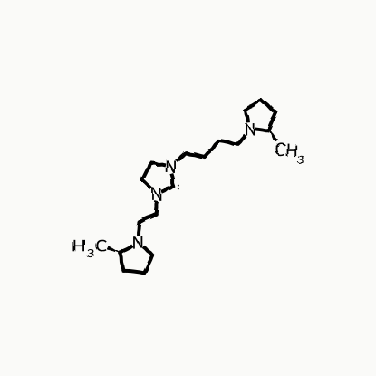 C[C@@H]1CCCN1CCCCN1[C]N(CCN2CCC[C@H]2C)CC1